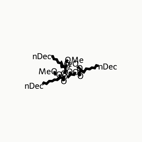 CCCCCCCCCCCCCCC/C=C(\OCOC)C(=O)OCC(COC(=O)/C(=C/CCCCCCCCCCCCCCC)OCOC)OC(=O)/C(=C/CCCCCCCCCCCCCCC)OCOC